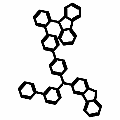 c1ccc(-c2cccc(N(c3ccc(-c4ccc(-c5ccccc5-n5c6ccccc6c6ccccc65)cc4)cc3)c3ccc4sc5ccccc5c4c3)c2)cc1